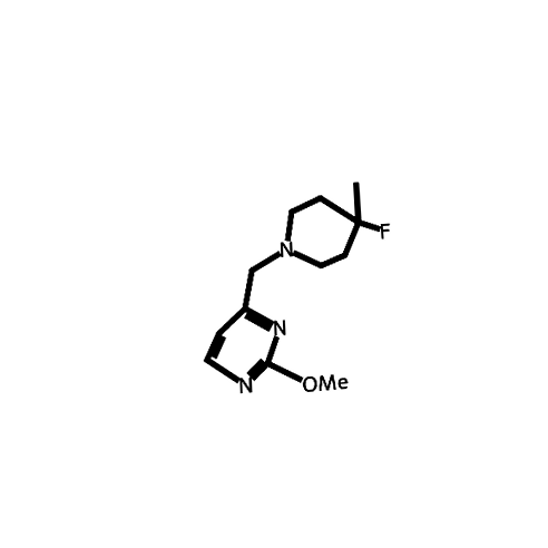 COc1nccc(CN2CCC(C)(F)CC2)n1